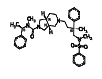 C[C@H](c1ccccc1)N(C)C(=O)N1C[C@H]2CN(CC[C@](C)(CN(C)S(=O)(=O)c3ccccc3)c3ccccc3)CC[C@H]2C1